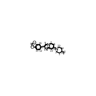 FC1CCN(c2ccn3cc(-c4ccc5c(c4)OCO5)nc3c2)CC1